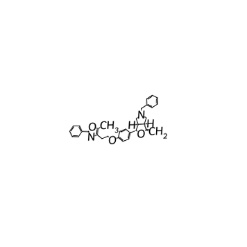 C=C1O[C@@H](c2ccc(OCCc3nc(-c4ccccc4)oc3C)cc2)[C@@H]2CN(Cc3ccccc3)C[C@H]12